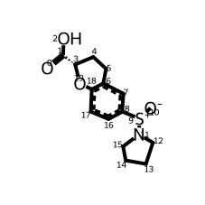 O=C(O)[C@@H]1CCc2cc([S+]([O-])N3CCCC3)ccc2O1